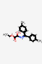 CCOC(=O)C(O)N=C(c1ccc(C)cc1)c1ccc(C)cc1